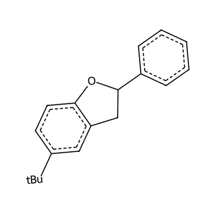 CC(C)(C)c1ccc2c(c1)CC(c1ccccc1)O2